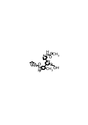 COC(=O)Nc1cc(-c2cc(-c3cc(NC(=O)NC[C@H]4CCO4)c(F)cc3C)cc(OCCO)n2)ccn1